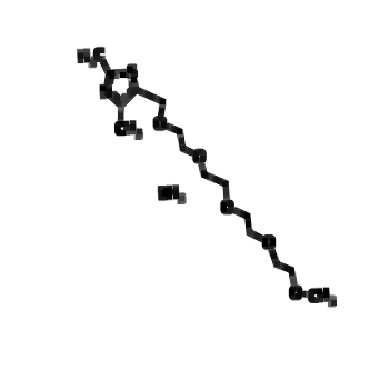 B.COCCOCCOCCOCCOCc1sc(C)nc1C